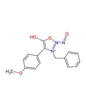 COc1ccc(-c2c(O)o[n+](N=O)[n+]2Cc2ccccc2)cc1